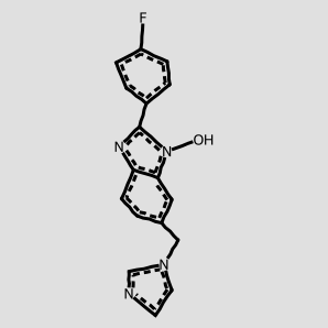 On1c(-c2ccc(F)cc2)nc2ccc(Cn3ccnc3)cc21